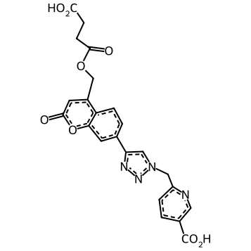 O=C(O)CCC(=O)OCc1cc(=O)oc2cc(-c3cn(Cc4ccc(C(=O)O)cn4)nn3)ccc12